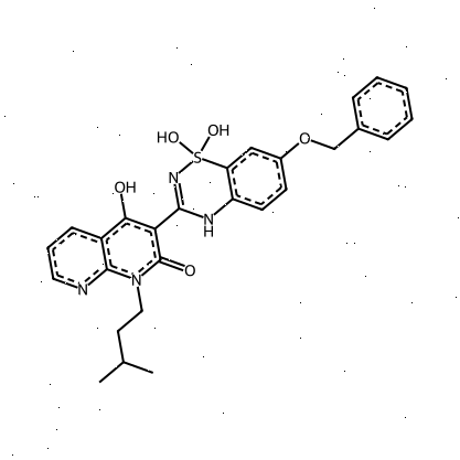 CC(C)CCn1c(=O)c(C2=NS(O)(O)c3cc(OCc4ccccc4)ccc3N2)c(O)c2cccnc21